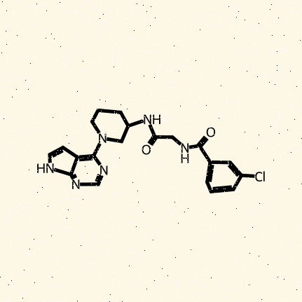 O=C(CNC(=O)c1cccc(Cl)c1)NC1CCCN(c2ncnc3[nH]ccc23)C1